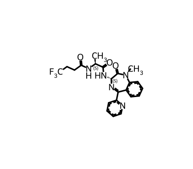 C[C@H](NC(=O)CCC(F)(F)F)C(=O)N[C@H]1N=C(c2ccccn2)c2ccccc2N(C)C1=O